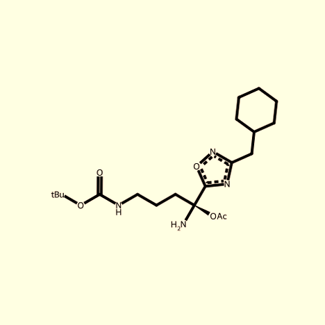 CC(=O)O[C@@](N)(CCCNC(=O)OC(C)(C)C)c1nc(CC2CCCCC2)no1